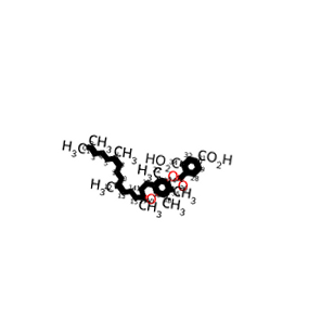 CC(C)=CCCC(C)=CCCC(C)=CCC[C@]1(C)CCc2c(C)c(OC(=O)c3ccc(C(=O)O)cc3C(=O)O)c(C)c(C)c2O1